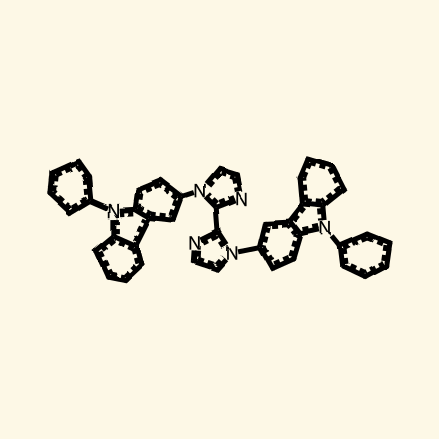 c1ccc(-n2c3ccccc3c3cc(-n4ccnc4-c4nccn4-c4ccc5c(c4)c4ccccc4n5-c4ccccc4)ccc32)cc1